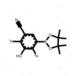 [3H]c1c(C#N)cc(B2OC(C)(C)C(C)(C)O2)c([3H])c1O